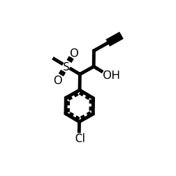 C#CCC(O)C(c1ccc(Cl)cc1)S(C)(=O)=O